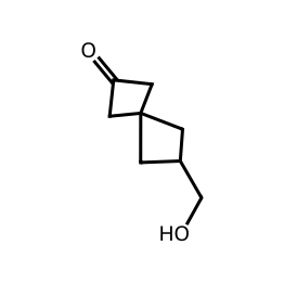 O=C1CC2(C1)CC(CO)C2